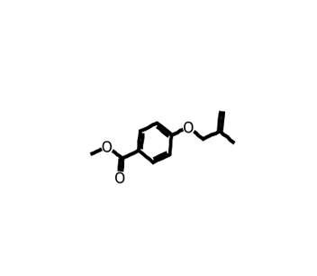 C=C(C)COc1ccc(C(=O)OC)cc1